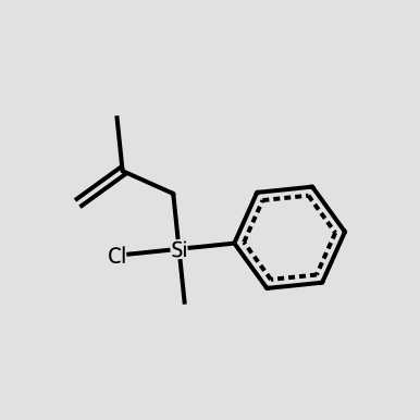 C=C(C)C[Si](C)(Cl)c1ccccc1